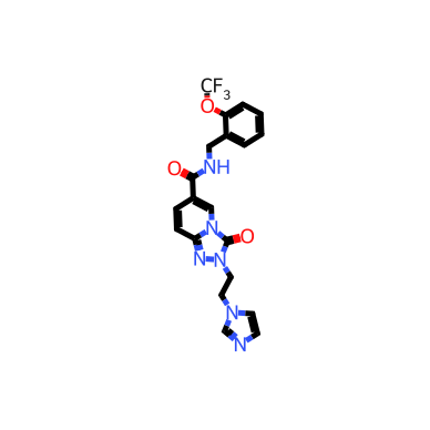 O=C(NCc1ccccc1OC(F)(F)F)c1ccc2nn(CCn3ccnc3)c(=O)n2c1